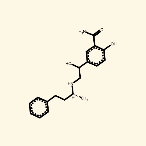 C[C@H](CCc1ccccc1)NCC(O)c1ccc(O)c(C(N)=O)c1